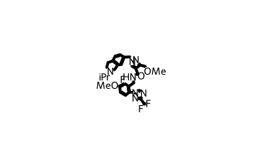 COCc1nn(Cc2ccc3c(c2)CN(C(C)C)CC3)cc1C(=O)NCc1c(-n2cnc(C(F)F)n2)ccc(OC)c1F